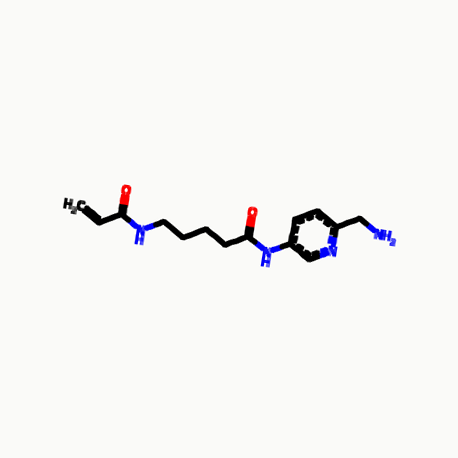 C=CC(=O)NCCCCC(=O)Nc1ccc(CN)nc1